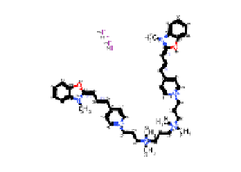 CN1/C(=C/C=C/c2cc[n+](CCC[N+](C)(C)CCC[N+](C)(C)CCC[n+]3ccc(/C=C/C=C4/Oc5ccccc5N4C)cc3)cc2)Oc2ccccc21.[I-].[I-].[I-].[I-]